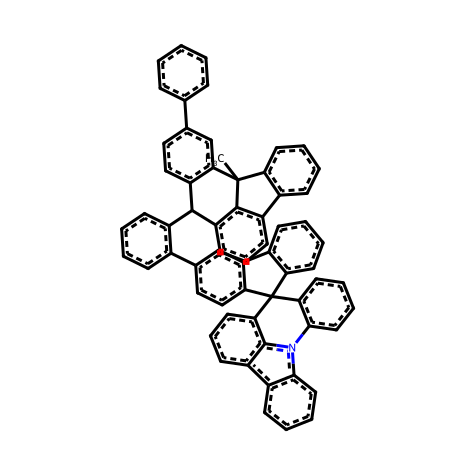 CC12c3ccccc3-c3cccc(c31)C(c1ccccc1-c1ccc3c(c1)-c1ccccc1C31c3ccccc3-n3c4ccccc4c4cccc1c43)c1ccc(-c3ccccc3)cc12